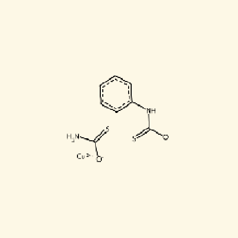 NC([O-])=S.[Cu+2].[O-]C(=S)Nc1ccccc1